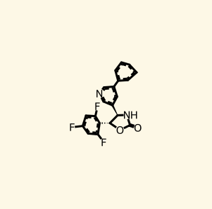 O=C1N[C@H](c2cncc(-c3ccccc3)c2)[C@@H](c2c(F)cc(F)cc2F)O1